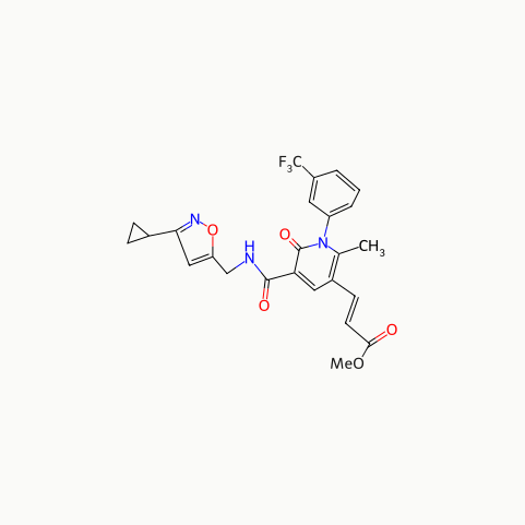 COC(=O)/C=C/c1cc(C(=O)NCc2cc(C3CC3)no2)c(=O)n(-c2cccc(C(F)(F)F)c2)c1C